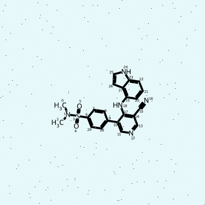 CN(C)S(=O)(=O)c1ccc(-c2cncc(C#N)c2Nc2cccc3[nH]ccc23)cc1